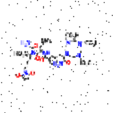 CSCC[C@H](NC(=O)c1cccc(CC(C(N)=O)N2CCN(CC(=O)O)CCN(CC(=O)O)CCN(CC(=O)O)CC2)c1)C(=O)N(C(=O)CN)[C@@H](CCCCN1C(=O)C=CC1=O)C(=O)O